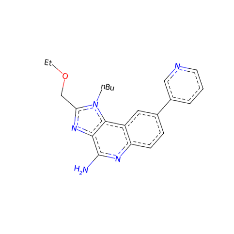 CCCCn1c(COCC)nc2c(N)nc3ccc(-c4cccnc4)cc3c21